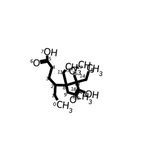 CCC(CCC(=O)O)C(CC)(CC)C(CC)(OC)C(=O)O